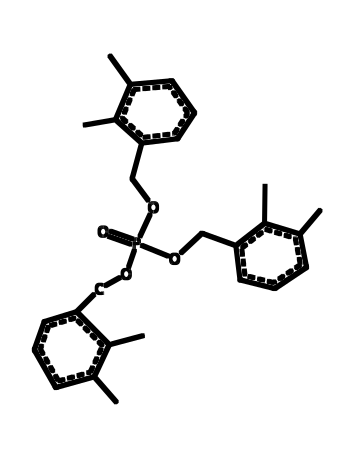 Cc1cccc(COP(=O)(OCc2cccc(C)c2C)OCc2cccc(C)c2C)c1C